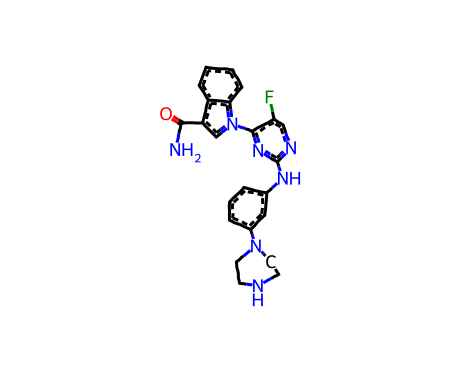 NC(=O)c1cn(-c2nc(Nc3cccc(N4CCNCC4)c3)ncc2F)c2ccccc12